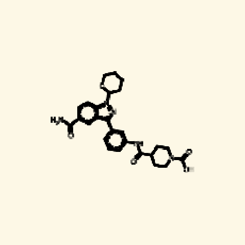 NC(=O)c1ccc2c(c1)c(-c1cccc(NC(=O)C3CCN(C(=O)O)CC3)c1)nn2C1CCCCO1